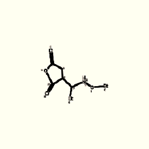 CCO[SiH2]C(CC)C1CC(=O)OC1=O